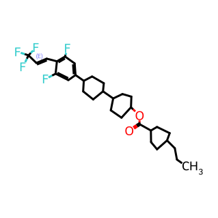 CCCC1CCC(C(=O)OC2CCC(C3CCC(c4cc(F)c(/C=C/C(F)(F)F)c(F)c4)CC3)CC2)CC1